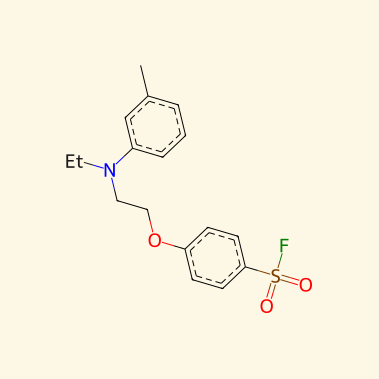 CCN(CCOc1ccc(S(=O)(=O)F)cc1)c1cccc(C)c1